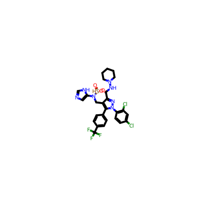 O=C(NN1CCCCC1)c1nn(-c2ccc(Cl)cc2Cl)c(-c2ccc(C(F)(F)F)cc2)c1CN(c1cnc[nH]1)[SH](=O)=O